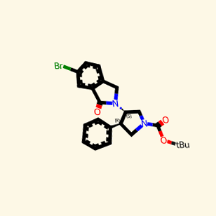 CC(C)(C)OC(=O)N1C[C@@H](N2Cc3ccc(Br)cc3C2=O)[C@H](c2ccccc2)C1